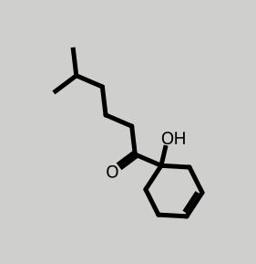 CC(C)CCCC(=O)C1(O)CC=CCC1